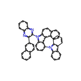 C1=Cc2c(n(-c3cccc4c3c3c5ccccc5ccc3n4-c3nc4ccccc4nc3-c3ccc4ccccc4c3)c3ccccc23)CC1